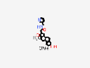 COc1cc2c(cc1O)CCC1C2CC[C@]2(C)C(=O)C(CC(=O)NCc3cccnc3)CC12